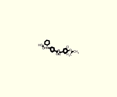 CC(C)Oc1ccc(-c2noc(-c3ccc(N[C@H]4CCCC[C@H]4C(=O)O)cc3)n2)cc1Cl